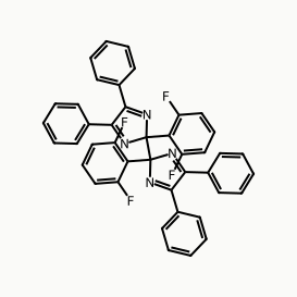 Fc1cccc(F)c1C1(C2(c3c(F)cccc3F)N=C(c3ccccc3)C(c3ccccc3)=N2)N=C(c2ccccc2)C(c2ccccc2)=N1